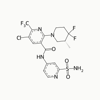 C[C@@H]1CN(c2nc(C(F)(F)F)c(Cl)cc2C(=O)Nc2ccnc(S(N)(=O)=O)c2)CCC1(F)F